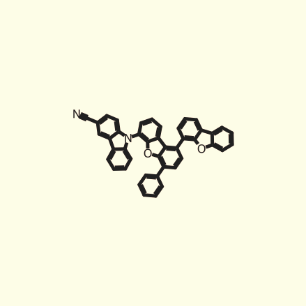 N#Cc1ccc2c(c1)c1ccccc1n2-c1cccc2c1oc1c(-c3ccccc3)ccc(-c3cccc4c3oc3ccccc34)c12